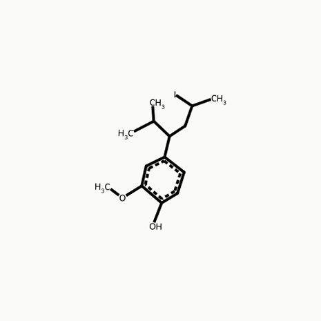 COc1cc(C(CC(C)I)C(C)C)ccc1O